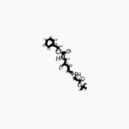 CC(C)(C)OC(=O)CNCCC(=O)CNC(=O)OCc1ccccc1